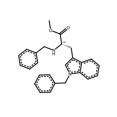 COC(=O)[C@H](Cc1cn(Cc2ccccc2)c2ccccc12)NCc1ccccc1